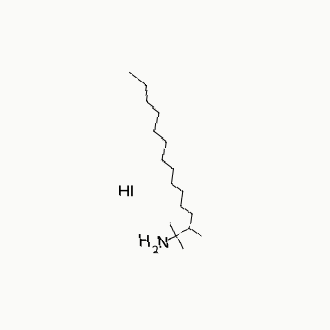 CCCCCCCCCCCCC(C)C(C)(C)N.I